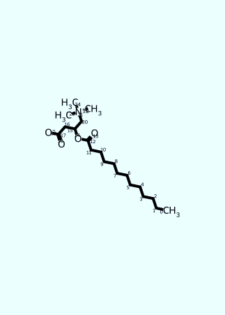 CCCCCCCCCCCCC(=O)OC(CC(=O)[O-])C[N+](C)(C)C